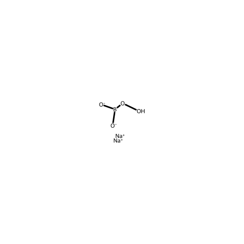 [Na+].[Na+].[O-]B([O-])OO